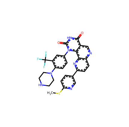 CSc1ccc(-c2ccc3ncc4c(=O)[nH]c(=O)n(-c5ccc(N6CCNCC6)c(C(F)(F)F)c5)c4c3n2)cn1